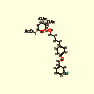 CC(=O)OC[C@@H]1C[C@H](OC(C)=O)[C@@H](OC(C)=O)[C@H](OCCCCc2ccc(OCc3cccc(F)c3)cc2)O1